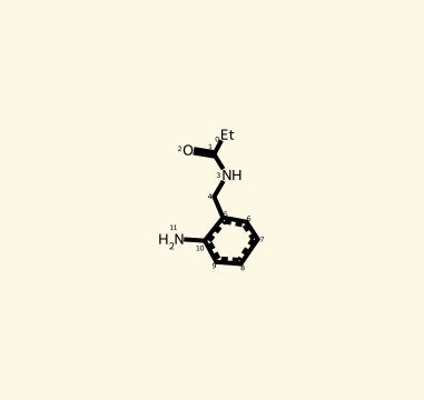 CCC(=O)NCc1ccccc1N